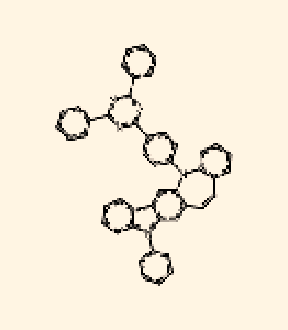 C1=Cc2cc3c(cc2N(c2ccc(-c4nc(-c5ccccc5)nc(-c5ccccc5)n4)cc2)c2ccccc21)c1ccccc1n3-c1ccccc1